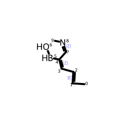 C/C=C/C=C(BO)\C=N/C